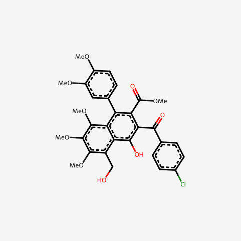 COC(=O)c1c(C(=O)c2ccc(Cl)cc2)c(O)c2c(CO)c(OC)c(OC)c(OC)c2c1-c1ccc(OC)c(OC)c1